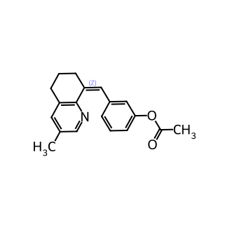 CC(=O)Oc1cccc(/C=C2/CCCc3cc(C)cnc32)c1